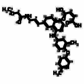 COCC(=O)NC/C=C/c1ccc2ncnc(Nc3ccc(Oc4ccc(C)nc4)c(C)c3)c2c1.O=C(O)/C=C\C(=O)O